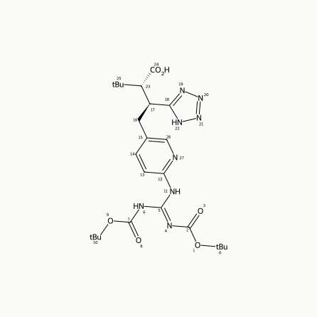 CC(C)(C)OC(=O)/N=C(/NC(=O)OC(C)(C)C)Nc1ccc(C[C@H](c2nnn[nH]2)[C@@H](C(=O)O)C(C)(C)C)cn1